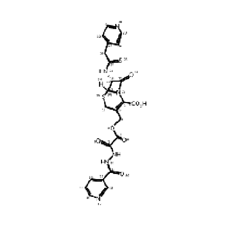 O=C(O)C1=C(COC(=O)C(=O)NNC(=O)c2cccnc2)CS[C@@H]2[C@H](NC(=S)Cc3ccncc3)C(=O)N12